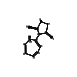 O=C1C[N]C(=O)C1C1=CC=CC=CN1